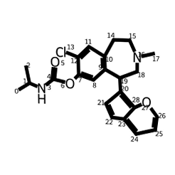 CC(C)NC(=O)Oc1cc2c(cc1Cl)CCN(C)CC2c1ccc2cccoc1-2